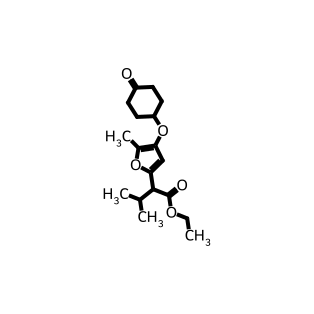 CCOC(=O)C(c1cc(OC2CCC(=O)CC2)c(C)o1)C(C)C